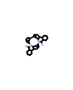 Cc1c2cccc1-n1c(=O)c3ccccc3c3ccc(c(C)c31)-n1c(=O)c3ccccc3c3ccc-2c(C)c31